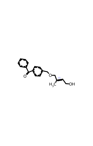 C/C(=C\CO)COCc1ccc(C(=O)c2ccccc2)cc1